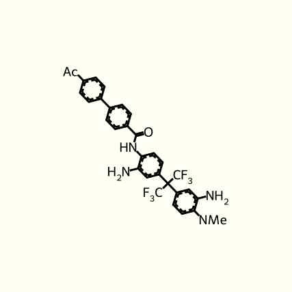 CNc1ccc(C(c2ccc(NC(=O)c3ccc(-c4ccc(C(C)=O)cc4)cc3)c(N)c2)(C(F)(F)F)C(F)(F)F)cc1N